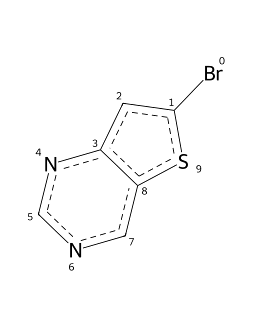 Brc1cc2ncncc2s1